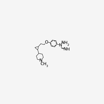 CN1CCC(C2CC2CCOc2ccc(N(N)C=N)cc2)CC1